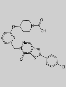 O=C(O)N1CCC(Oc2cccc(Cn3ncc4cc(-c5ccc(Cl)cc5)sc4c3=O)n2)CC1